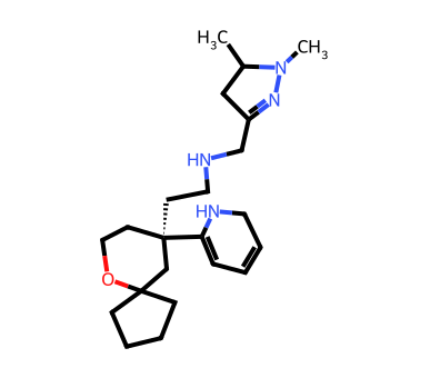 CC1CC(CNCC[C@@]2(C3=CC=CCN3)CCOC3(CCCC3)C2)=NN1C